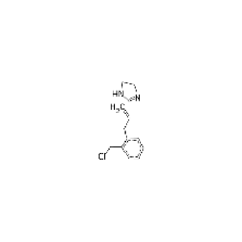 C1=NCCN1.C=CCc1ccccc1CCl